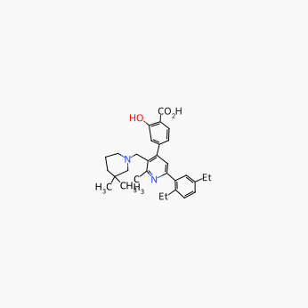 CCc1ccc(CC)c(-c2cc(-c3ccc(C(=O)O)c(O)c3)c(CN3CCCC(C)(C)C3)c(C)n2)c1